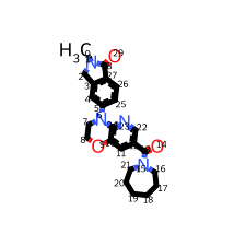 CN1Cc2cc(N3CCOc4cc(C(=O)N5CCCCCC5)cnc43)ccc2C1=O